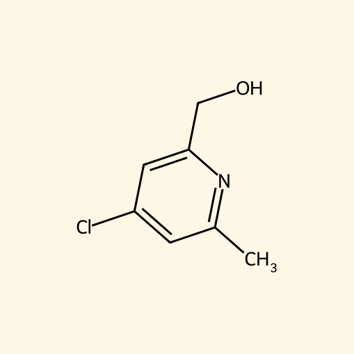 Cc1cc(Cl)cc(CO)n1